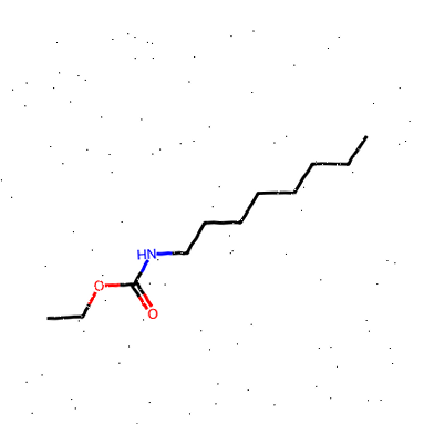 CCCCCCCCNC(=O)OCC